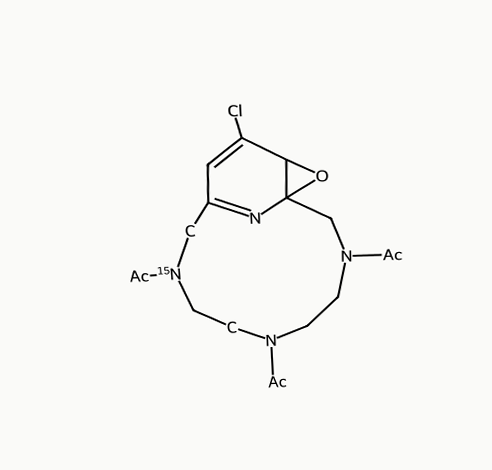 CC(=O)N1CCN(C(C)=O)CC23N=C(C=C(Cl)C2O3)C[15N](C(C)=O)CC1